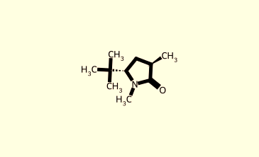 C[C@@H]1C[C@@H](C(C)(C)C)N(C)C1=O